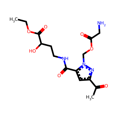 CCOC(=O)C(O)CCNC(=O)c1cc(C(C)=O)nn1COC(=O)CN